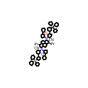 CC(C)c1cc(N(c2cc(-c3cccc([Si](c4ccccc4)(c4ccccc4)c4ccccc4)c3)ccc2C#N)c2cccc3c2oc2ccccc23)c2ccc3c(C(C)C)cc(N(c4cc(-c5cccc([Si](c6ccccc6)(c6ccccc6)c6ccccc6)c5)ccc4C#N)c4cccc5c4oc4ccccc45)c4ccc1c2c34